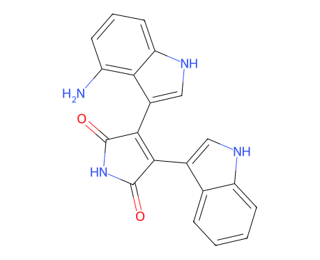 Nc1cccc2[nH]cc(C3=C(c4c[nH]c5ccccc45)C(=O)NC3=O)c12